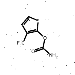 NC(=O)Oc1sccc1C(F)(F)F